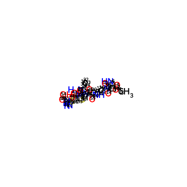 CCC(=O)OC1CN[C@H](C(=O)N(C(C)=O)c2ccc(-c3ccc(CN(C(=O)C(N)c4ccccc4)C4C(=O)N5C(C(=O)O)=C(CSc6nnnn6CC(=O)O)CS[C@@H]45)c(=O)[nH]3)cc2)C1